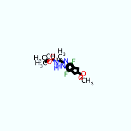 COC(=O)C1Cc2c(c(F)c3[nH]c([C@@H](C)NC(=O)OC(C)(C)C)nc3c2F)C1